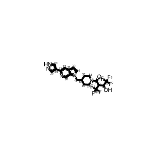 O=C(C(C(O)C(F)(F)F)C(F)(F)F)N1CCC(Cn2ccc3cc(-c4cn[nH]c4)ncc32)CC1